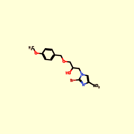 O=[N+]([O-])c1cn(CC(O)COCc2ccc(OC(F)(F)F)cc2)c(Br)n1